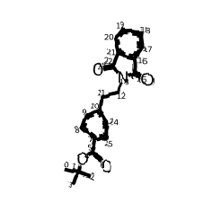 CC(C)(C)OC(=O)c1ccc(CCN2C(=O)c3ccccc3C2=O)cc1